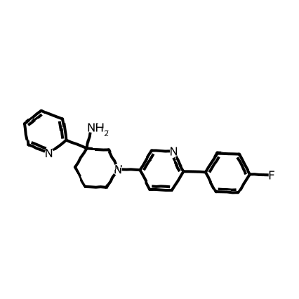 NC1(c2ccccn2)CCCN(c2ccc(-c3ccc(F)cc3)nc2)C1